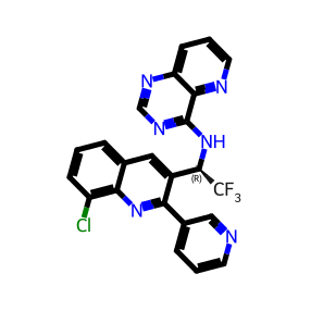 FC(F)(F)[C@H](Nc1ncnc2cccnc12)c1cc2cccc(Cl)c2nc1-c1cccnc1